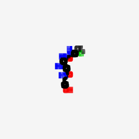 O=C(Nc1ccc(Cl)c(C(F)(F)F)c1)NC1CCc2[nH]c3cc(C(=O)NCCc4ccc(O)cc4)ccc3c2C1